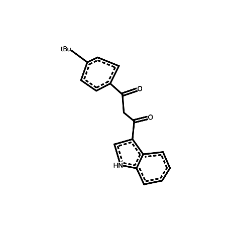 CC(C)(C)c1ccc(C(=O)CC(=O)c2c[nH]c3ccccc23)cc1